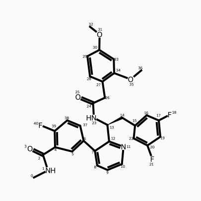 CNC(=O)c1cc(-c2cccnc2[C@H](Cc2cc(F)cc(F)c2)NC(=O)Cc2ccc(OC)cc2OC)ccc1F